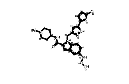 CC(C)N1CCC(NC(=O)c2cc3cc(NOO)ccc3n2Cc2cc(-c3ccc(Cl)s3)on2)CC1